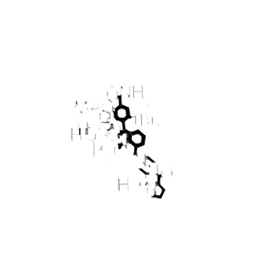 COc1c(C(N)=O)cc(C(C)(C)C)c(-c2c(C(=O)O)n(C)c3c(CN4CCN(C(=O)C5CCCN5C)CC4)cccc23)c1S(C)(=O)=O